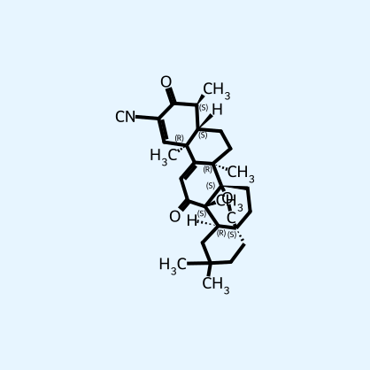 [C-]#[N+]C1=C[C@]2(C)C3=CC(=O)[C@@]4(C)[C@@H]5CC(C)(C)CC[C@]56CC[C@]4(OC6)[C@]3(C)CC[C@H]2[C@H](C)C1=O